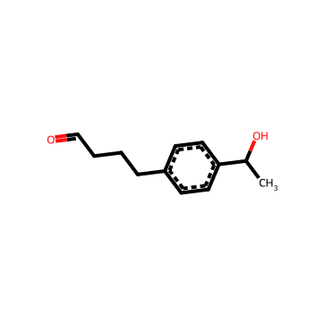 CC(O)c1ccc(CCCC=O)cc1